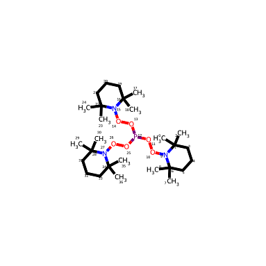 CC1(C)CCCC(C)(C)N1OOP(OON1C(C)(C)CCCC1(C)C)OON1C(C)(C)CCCC1(C)C